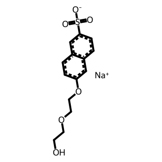 O=S(=O)([O-])c1ccc2cc(OCCOCCO)ccc2c1.[Na+]